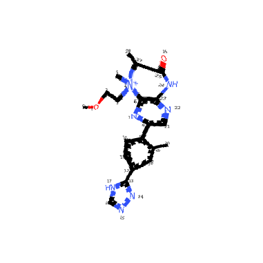 COCC[N+]1(C)c2nc(-c3ccc(-c4nnc[nH]4)cc3C)cnc2NC(=O)C1C